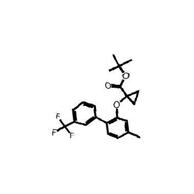 Cc1ccc(-c2cccc(C(F)(F)F)c2)c(OC2(C(=O)OC(C)(C)C)CC2)c1